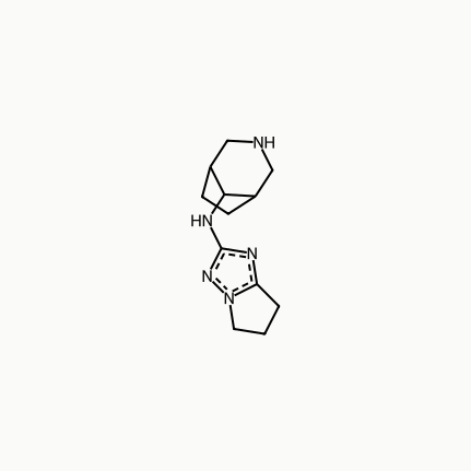 C1Cc2nc(NC3C4CCC3CNC4)nn2C1